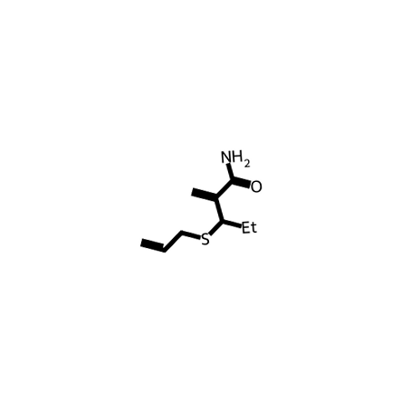 C=CCSC(CC)C(=C)C(N)=O